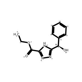 CCOC(=O)c1nnc([C@H](O)c2ccccc2)[nH]1